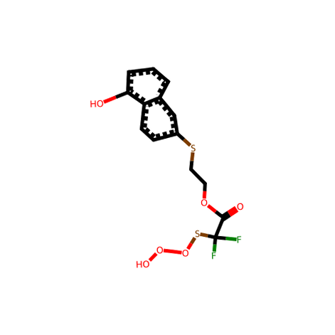 O=C(OCCSc1ccc2c(O)cccc2c1)C(F)(F)SOOO